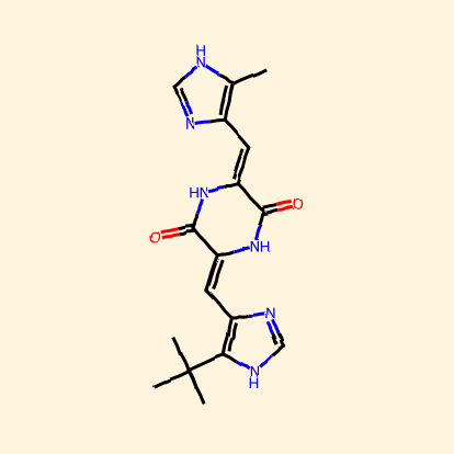 Cc1[nH]cnc1/C=c1\[nH]c(=O)/c(=C/c2nc[nH]c2C(C)(C)C)[nH]c1=O